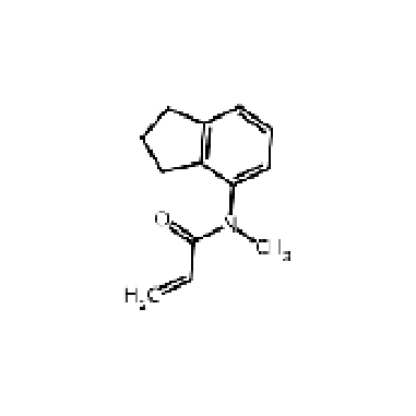 C=CC(=O)N(C)c1cccc2c1CCC2